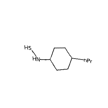 CCCC1CCC(NS)CC1